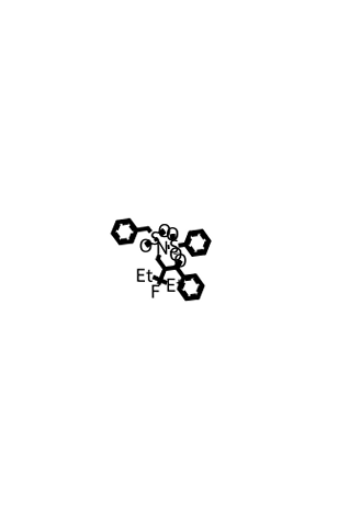 CCC(F)(CC)C(CN(S(=O)(=O)Cc1ccccc1)S(=O)(=O)c1ccccc1)C(=O)c1ccccc1